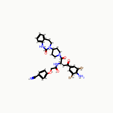 N#Cc1ccc(OCC(=O)N[C@H](CC(=O)c2cc(Br)c(N)c(Br)c2)C(=O)N2CCC(N3CCc4ccccc4NC3=O)CC2)cc1